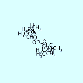 C[SiH](C)OC(COC(=O)C=CC(=O)OCC(O[SiH](C)C)C(C)(C)C)C(C)(C)C